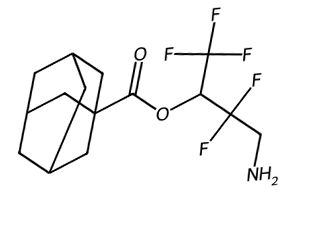 NCC(F)(F)C(OC(=O)C12CC3CC(CC(C3)C1)C2)C(F)(F)F